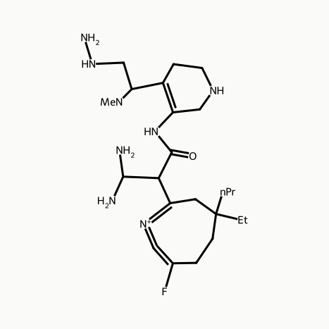 CCCC1(CC)CCC(F)=C=[N+]=C(C(C(=O)NC2=C(C(CNN)NC)CCNC2)C(N)N)C1